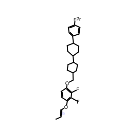 C/C=C/Oc1ccc(OCC2CCC(C3CCC(c4ccc(CCC)cc4)CC3)CC2)c(F)c1F